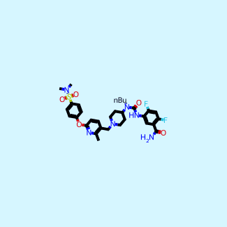 CCCCN(C(=O)Nc1cc(C(N)=O)c(F)cc1F)C1CCN(Cc2ccc(Oc3ccc(S(=O)(=O)N(C)C)cc3)nc2C)CC1